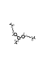 C=C(C)C(=O)OCCCOc1ccc(-c2cc(OC(=O)C(=C)C)cc(-c3ccc(OCCCOC(=O)C(=C)C)c(F)c3)c2)cc1C